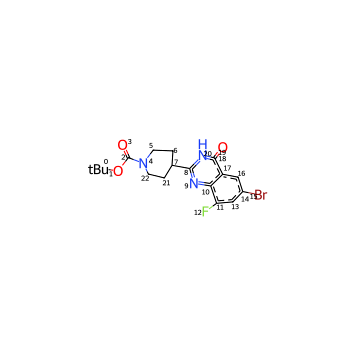 CC(C)(C)OC(=O)N1CCC(c2nc3c(F)cc(Br)cc3c(=O)[nH]2)CC1